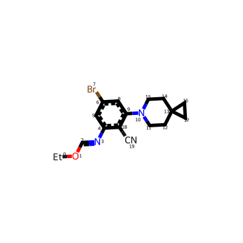 CCO/C=N/c1cc(Br)cc(N2CCC3(CC2)CC3)c1C#N